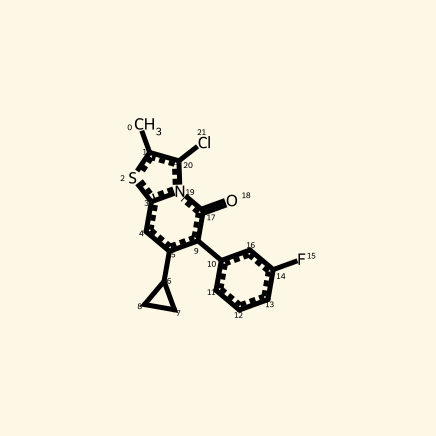 Cc1sc2cc(C3CC3)c(-c3cccc(F)c3)c(=O)n2c1Cl